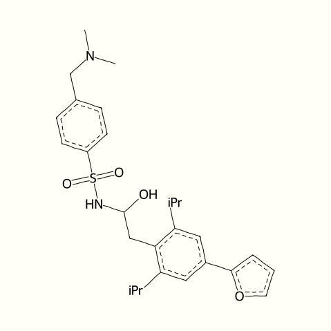 CC(C)c1cc(-c2ccco2)cc(C(C)C)c1CC(O)NS(=O)(=O)c1ccc(CN(C)C)cc1